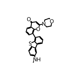 CNc1ccc2sc3c(-c4cccc5c(=O)cc(N6CCOCC6)oc45)cccc3c2c1